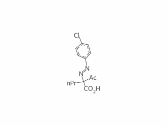 CCCC(N=Nc1ccc(Cl)cc1)(C(C)=O)C(=O)O